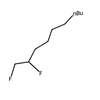 CCCCCCCCC(F)CF